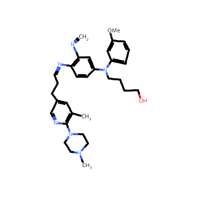 C=Nc1cc(N(CCCCO)c2cccc(OC)c2)ccc1/N=C\CCc1cnc(N2CCN(C)CC2)c(C)c1